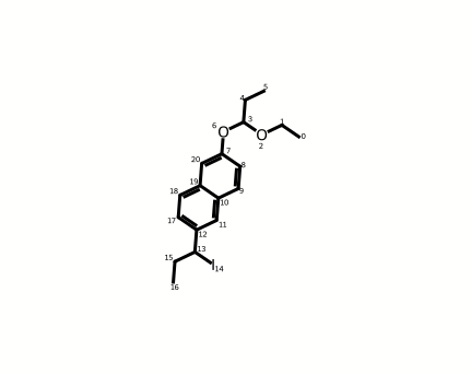 CCOC(CC)Oc1ccc2cc(C(I)CC)ccc2c1